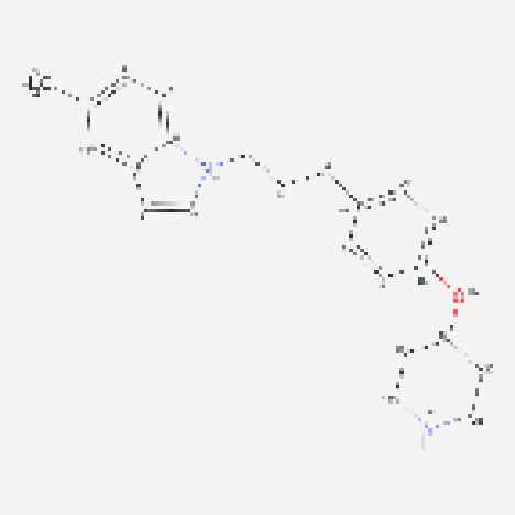 Cc1ccc2c([c]cn2CCCc2ccc(OC3CCNCC3)cc2)c1